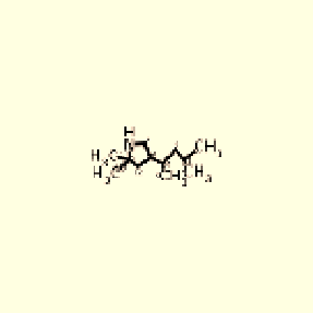 CC(C)CC(C)C1CNC(C)(C)C1